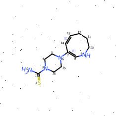 NC(=S)N1CCN(C2=C/NCCC/C=C\2)CC1